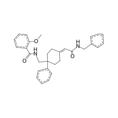 COc1ccccc1C(=O)NCC1(c2ccccc2)CCC(=CC(=O)NCc2ccccc2)CC1